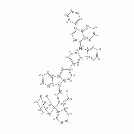 c1ccc(-c2ccc(-n3c4ccccc4c4cc(-c5ccc6c(c5)c5ccccc5n6-c5ccc6c(c5)C5(c7ccccc7-6)C6CC7CC(C6)CC5C7)ccc43)c3ccccc23)cc1